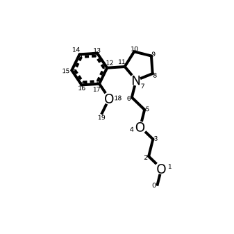 COCCOCCN1CCCC1c1ccccc1OC